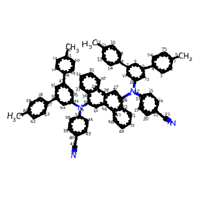 Cc1ccc(-c2cc(-c3ccc(C)cc3)cc(N(c3ccc(C#N)cc3)c3cc4c5ccccc5c(N(c5ccc(C#N)cc5)c5cc(-c6ccc(C)cc6)cc(-c6ccc(C)cc6)c5)cc4c4ccccc34)c2)cc1